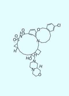 C[C@@]12C[C@H]1CCC[C@@](O)(CN1CCN3CCOC[C@@H]3C1)[C@@H]1CCC1CN1CCCCc3cc(Cl)ccc3COc3ccc(cc31)C(=O)NS2(=O)=O